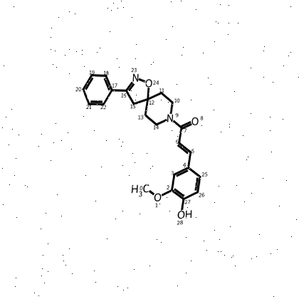 COc1cc(C=CC(=O)N2CCC3(CC2)CC(c2ccccc2)=NO3)ccc1O